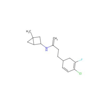 C=C(CCC1C=CC(Cl)=C(F)C1)NC1CC2(C)CC12